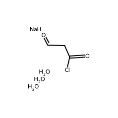 O.O.O.O=CCC(=O)Cl.[NaH]